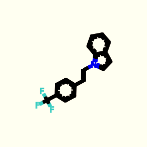 FC(F)(F)c1ccc(C=Cn2ccc3ccccc32)cc1